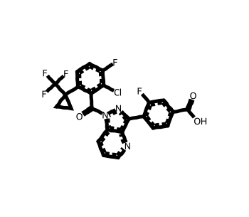 O=C(O)c1ccc(-c2nn(C(=O)c3c(C4(C(F)(F)F)CC4)ccc(F)c3Cl)c3cccnc23)c(F)c1